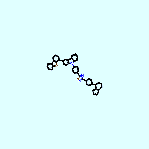 c1ccc2c(-c3ccc(-c4nsc(-c5ccc(-n6c7ccccc7c7cc(-c8cccc9c8sc8ccccc89)ccc76)cc5)n4)cc3)cccc2c1